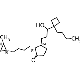 CCCCC1(C(O)CC[C@H]2CCC(=O)[C@@H]2CCCC[C@@H]2C[C@H]2C)CCC1